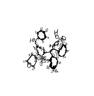 NC(=C(c1nc(Nc2ccccc2)nc(N2CCOCC2)n1)c1ccccc1S(=O)(=O)O)c1ccccc1S(=O)(=O)O